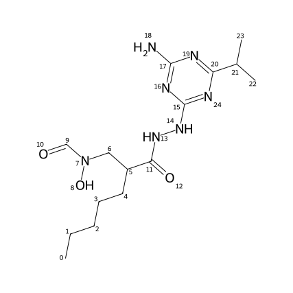 CCCCCC(CN(O)C=O)C(=O)NNc1nc(N)nc(C(C)C)n1